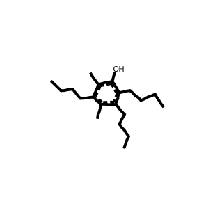 CCCCc1c(C)c(O)c(CCCC)c(CCCC)c1C